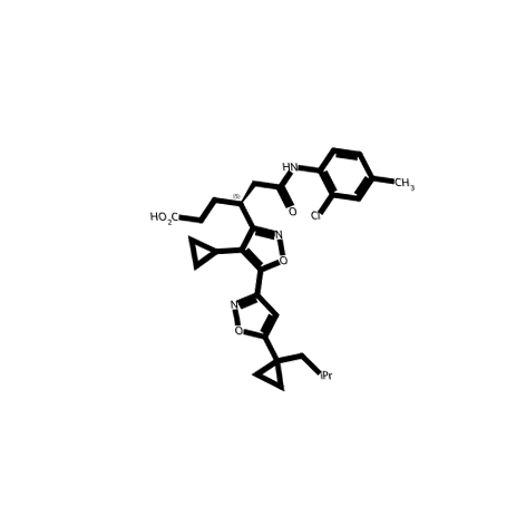 Cc1ccc(NC(=O)C[C@H](CCC(=O)O)c2noc(-c3cc(C4(CC(C)C)CC4)on3)c2C2CC2)c(Cl)c1